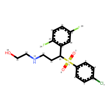 O=S(=O)(c1ccc(Cl)cc1)C(CCNCCO)c1cc(F)ccc1F